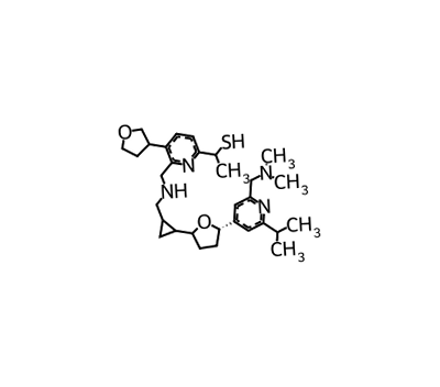 CC(C)c1cc([C@@H]2CCC(C3CC3CNCc3nc(C(C)S)ccc3C3CCOC3)O2)cc(CN(C)C)n1